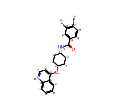 O=C(N[C@H]1CC[C@H](Oc2ccnc3ccccc23)CC1)c1ccc(F)c(F)c1